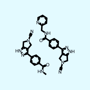 CNC(=O)c1ccc(-c2n[nH]c3c2CN(C#N)C3)cc1.N#CN1Cc2[nH]nc(-c3ccc(C(=O)NCc4ccccn4)cc3)c2C1